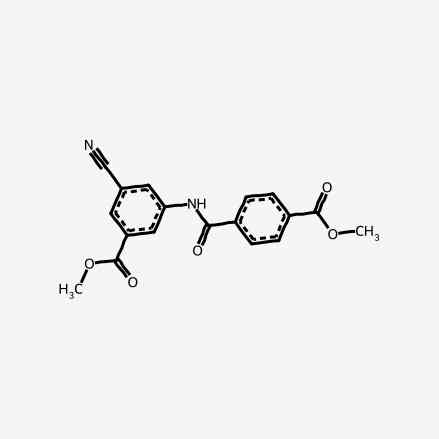 COC(=O)c1ccc(C(=O)Nc2cc(C#N)cc(C(=O)OC)c2)cc1